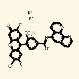 O=C(O)c1cc(C([O-])=Nc2cc3cccnc3c3ncccc23)ccc1-c1c2cc(Cl)c(=O)cc-2oc2cc([O-])c(Cl)cc12.[K+].[K+]